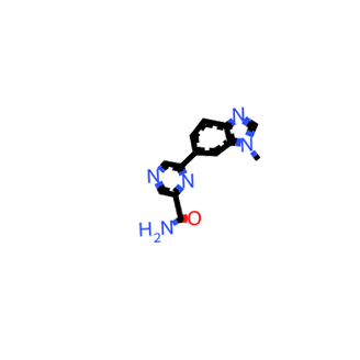 Cn1cnc2ccc(-c3cncc(C(N)=O)n3)cc21